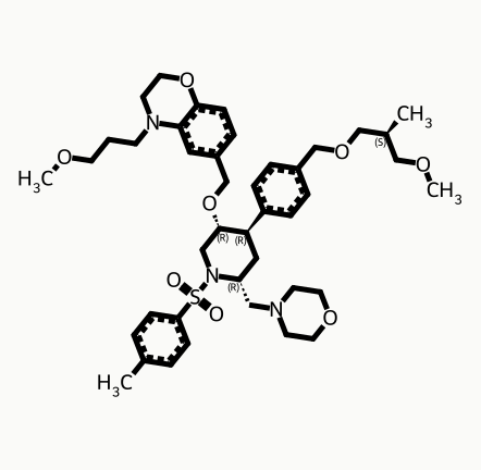 COCCCN1CCOc2ccc(CO[C@H]3CN(S(=O)(=O)c4ccc(C)cc4)[C@@H](CN4CCOCC4)C[C@@H]3c3ccc(COC[C@@H](C)COC)cc3)cc21